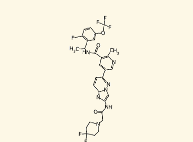 Cc1ncc(-c2ccc3nc(NC(=O)CN4CCC(F)(F)CC4)cn3n2)cc1C(=O)NC(C)c1cc(OC(F)(F)F)ccc1F